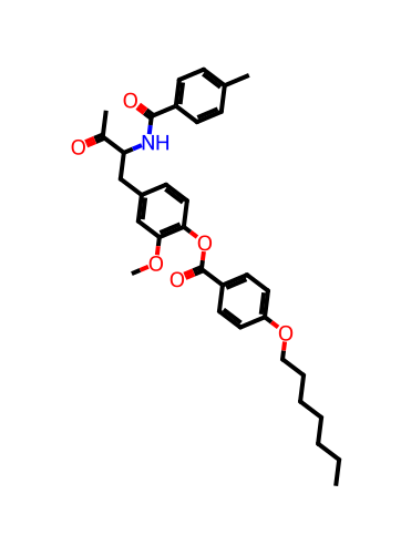 CCCCCCCOc1ccc(C(=O)Oc2ccc(CC(NC(=O)c3ccc(C)cc3)C(C)=O)cc2OC)cc1